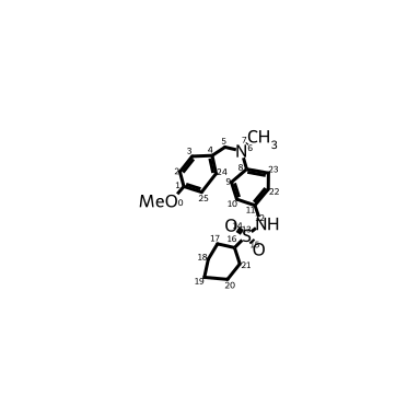 COc1ccc(CN(C)c2ccc(NS(=O)(=O)C3CCCCC3)cc2)cc1